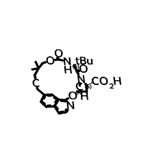 CC1(C)CCCc2ccc3ccnc(c3c2)O[C@@H]2C[C@@H](C(=O)O)N(C2)C(=O)[C@H](C(C)(C)C)NC(=O)OC1